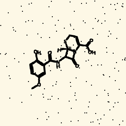 COc1ccc(O)c(C(=O)NC2C(=O)N3C(C(=O)O)=CCS[C@@H]23)c1